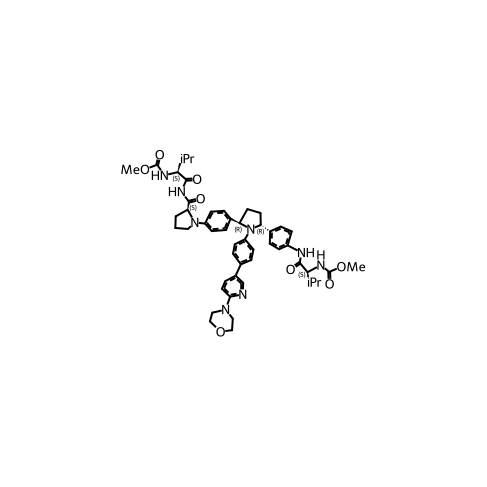 COC(=O)N[C@H](C(=O)NC(=O)[C@@H]1CCCN1c1ccc([C@H]2CC[C@H](c3ccc(NC(=O)[C@@H](NC(=O)OC)C(C)C)cc3)N2c2ccc(-c3ccc(N4CCOCC4)nc3)cc2)cc1)C(C)C